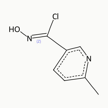 Cc1ccc(/C(Cl)=N/O)cn1